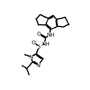 CC(C)c1ncc([S+]([O-])NC(=O)Nc2c3c(cc4c2CCC4)CCC3)n1C